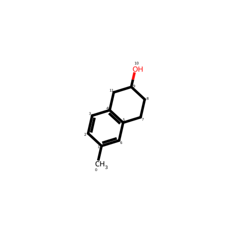 Cc1ccc2c(c1)CCC(O)C2